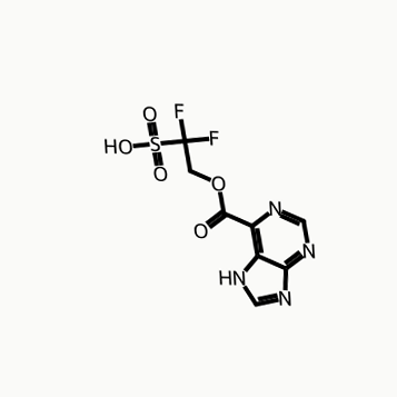 O=C(OCC(F)(F)S(=O)(=O)O)c1ncnc2nc[nH]c12